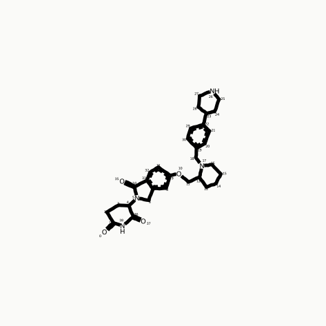 O=C1CCC(N2Cc3cc(OCC4CCCCN4Cc4ccc(C5CCNCC5)cc4)ccc3C2=O)C(=O)N1